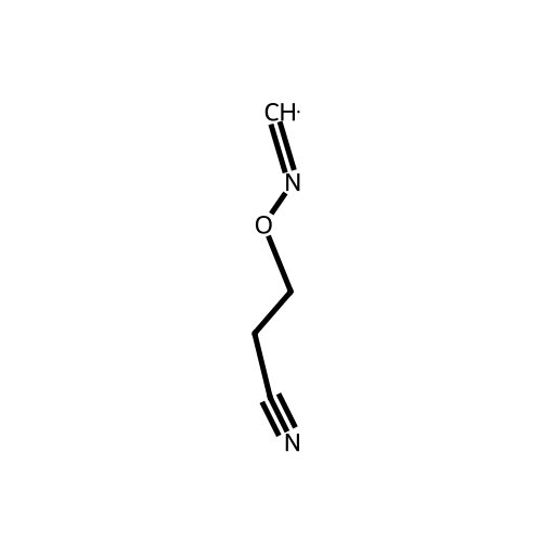 [CH]=NOCCC#N